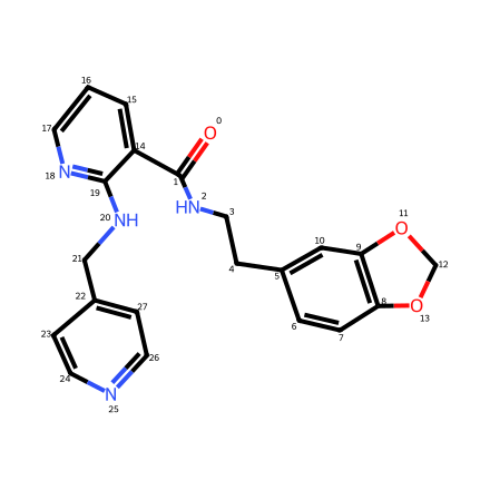 O=C(NCCc1ccc2c(c1)OCO2)c1cccnc1NCc1ccncc1